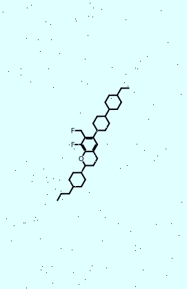 CCCC1CCC(C2CCc3cc(C4CCC(C5CCC(CC)CC5)CC4)c(CF)c(F)c3O2)CC1